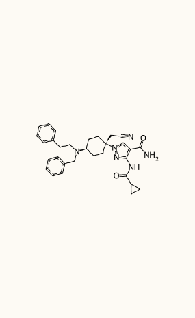 N#CC[C@]1(n2cc(C(N)=O)c(NC(=O)C3CC3)n2)CC[C@H](N(CCc2ccccc2)Cc2ccccc2)CC1